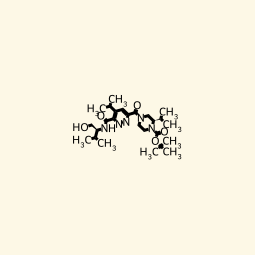 CC(C)c1cc(C(=O)N2CCN(C(=O)OC(C)(C)C)[C@@H](C(C)C)C2)nnc1C(=O)N[C@H](CO)C(C)C